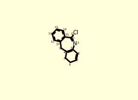 ClC1=NC2=C(CCC=C2)Cc2ccccc21